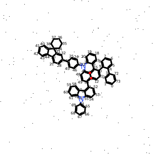 c1ccc(-c2ccccc2-c2ccccc2-c2ccccc2N(c2ccc(-c3ccc4c(c3)C3(CCCCC3)c3ccccc3-4)cc2)c2ccc(-c3cccc4c3c3ccccc3n4-c3ccccc3)cc2)cc1